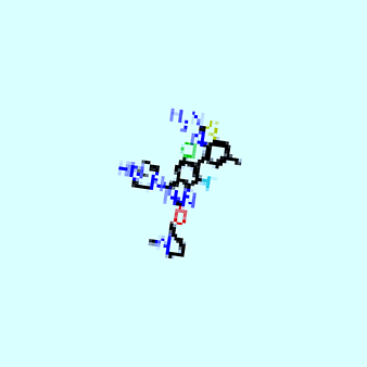 Cc1cc(-c2c(Cl)cc3c(N4CCNCC4)nc(OCC4CCCN4C)nc3c2F)c2nc(N)sc2c1